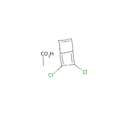 CC(=O)O.Clc1c2ccc-2c1Cl